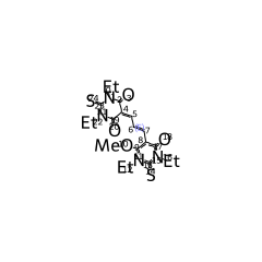 CCN1C(=O)C(=C/C=C/c2c(OC)n(CC)c(=S)n(CC)c2=O)C(=O)N(CC)C1=S